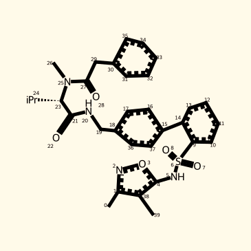 Cc1noc(NS(=O)(=O)c2ccccc2-c2ccc(CNC(=O)[C@H](C(C)C)N(C)C(=O)Cc3ccccc3)cc2)c1C